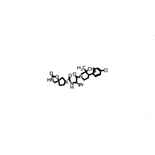 CC(C)[C@@H](NC(=O)[C@@H]1CCC2(CNC(=O)O2)C1)C(=O)N1CCC(c2ccc(Cl)cc2)C(C)(C)C1